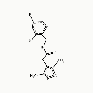 Cc1noc(C)c1CC(=O)NCc1ccc(F)cc1Br